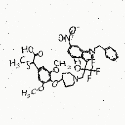 COc1cc(C(SC)C(=O)O)cc(OC)c1OC1CCN(CC(O)(c2cn(Cc3ccccc3)c3cc([N+](=O)[O-])ccc23)C(F)(F)F)CC1